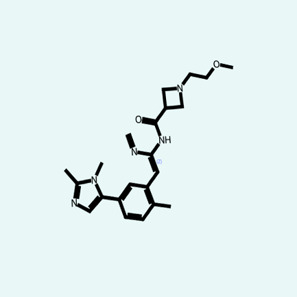 C=N/C(=C\c1cc(-c2cnc(C)n2C)ccc1C)NC(=O)C1CN(CCOC)C1